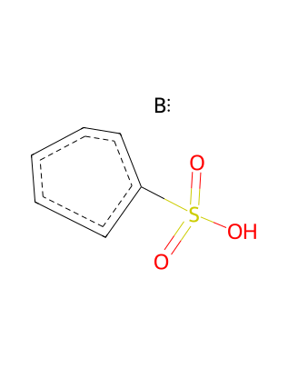 O=S(=O)(O)c1ccccc1.[B]